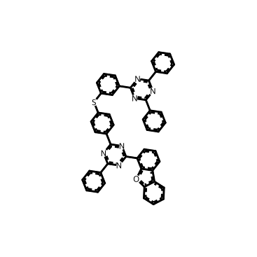 c1ccc(-c2nc(-c3ccccc3)nc(-c3cccc(Sc4ccc(-c5nc(-c6ccccc6)nc(-c6cccc7c6oc6ccccc67)n5)cc4)c3)n2)cc1